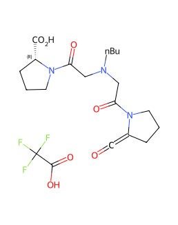 CCCCN(CC(=O)N1CCCC1=C=O)CC(=O)N1CCC[C@@H]1C(=O)O.O=C(O)C(F)(F)F